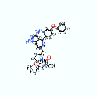 CCOC(C)(C)/C=C(/C#N)C(=O)N1CCC[C@H]1Cc1cc2[nH]nc(N)c2c(-c2ccc(Oc3ccccc3)cc2)n1